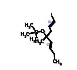 CC/C=C/C(C)(C/C=C/I)O[Si](C)(C)C